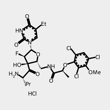 CCc1cn([C@@H]2O[C@H](CNC(=O)[C@H](C)Oc3c(Cl)cc(Cl)c(OC)c3Cl)[C@](O)(C(=O)[C@@H](N)C(C)C)[C@H]2F)c(=O)[nH]c1=O.Cl